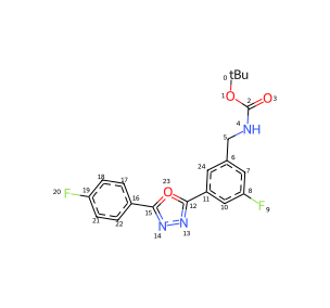 CC(C)(C)OC(=O)NCc1cc(F)cc(-c2nnc(-c3ccc(F)cc3)o2)c1